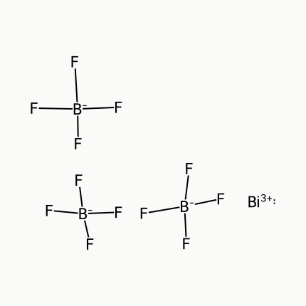 F[B-](F)(F)F.F[B-](F)(F)F.F[B-](F)(F)F.[Bi+3]